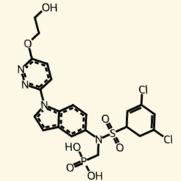 O=P(O)(O)CN(c1ccc2c(ccn2-c2ccc(OCCO)nn2)c1)S(=O)(=O)C1C=C(Cl)C=C(Cl)C1